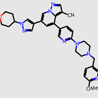 COc1ccc(CN2CCN(c3ccc(-c4cc(-c5cnn(C6CCOCC6)c5)cn5ncc(C#N)c45)cn3)CC2)cn1